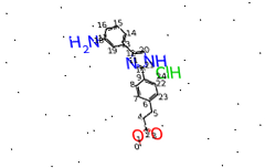 COC(=O)CCc1ccc(-c2nc(-c3cccc(N)c3)c[nH]2)cc1.Cl